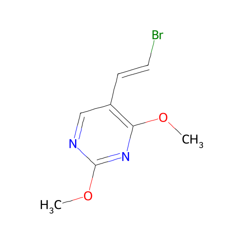 COc1ncc(/C=C/Br)c(OC)n1